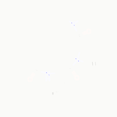 CC(C)CC1NC(=O)CCCCCCCCN(C)C(=O)CN(C)C1=O